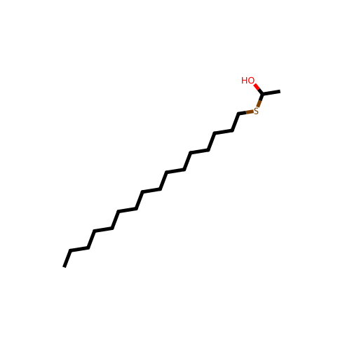 CCCCCCCCCCCCCCCCSC(C)O